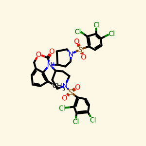 Cc1cccc2c1[N+](C1CCN(S(=O)(=O)c3ccc(Cl)c(Cl)c3Cl)CC1)(C1CCN(S(=O)(=O)c3ccc(Cl)c(Cl)c3Cl)CC1)C(=O)OC2